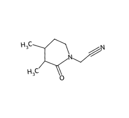 CC1CCN(CC#N)C(=O)C1C